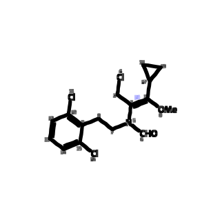 CO/C(=C(/CCl)N(C=O)CCc1c(Cl)cccc1Cl)C1CC1